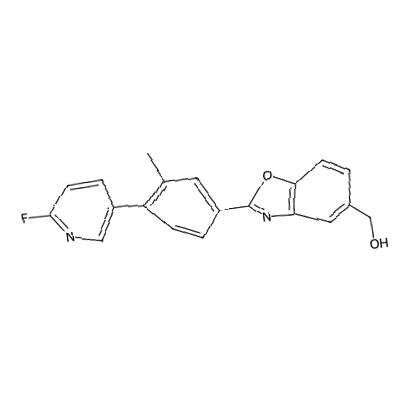 Cc1cc(-c2nc3cc(CO)ccc3o2)ccc1-c1ccc(F)nc1